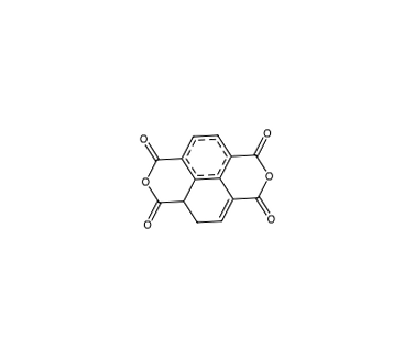 O=C1OC(=O)c2ccc3c4c2C1=CCC4C(=O)OC3=O